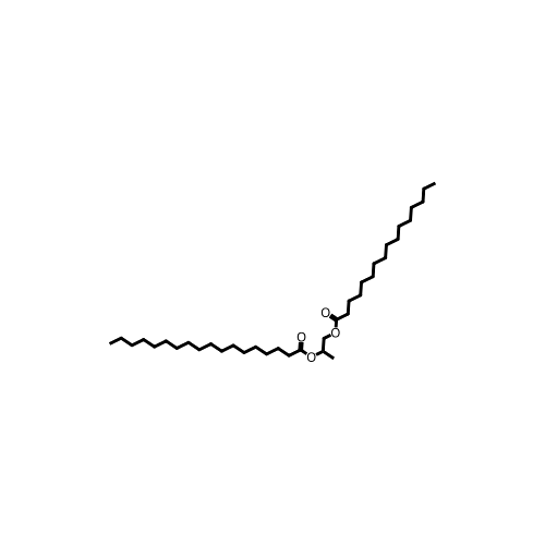 CCCCCCCCCCCCCCCCCC(=O)OC(C)COC(=O)CCCCCCCCCCCCCCC